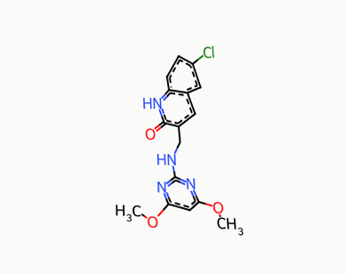 COc1cc(OC)nc(NCc2cc3cc(Cl)ccc3[nH]c2=O)n1